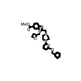 COC(=O)c1ccc2nc(CN3CCN(c4cccc(OCc5ccccc5)n4)CC3)n(CC3CCO3)c2c1